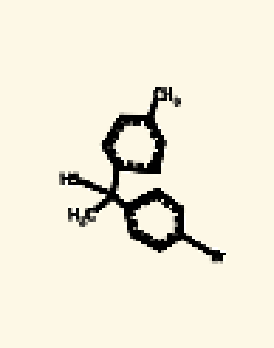 Cc1ccc(C(C)(S)c2ccc(Br)cc2)cc1